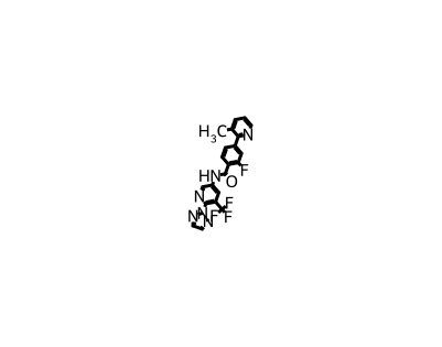 Cc1cccnc1-c1ccc(C(=O)Nc2cnc(-n3nccn3)c(C(F)(F)F)c2)c(F)c1